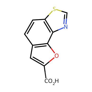 O=C(O)c1cc2ccc3scnc3c2o1